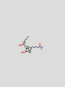 CCCCC(C)(C)[C@H](O)CC[C@@H]1[C@H]2CC(CCCCC(=O)N(C)C)=C[C@H]2C[C@H]1O